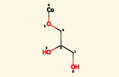 OCC(O)C[O][Co]